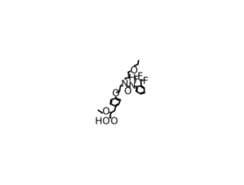 CCCOCCCN(CCOc1ccc(CC(OCC)C(=O)O)cc1)C(=O)Nc1ccccc1C(F)(F)F